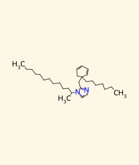 CCCCCCCCCCCC(C)n1ccnc1CC1(CCCCCCC)C=CC=CC1